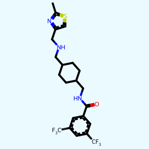 Cc1nc(CNCC2CCC(CNC(=O)c3cc(C(F)(F)F)cc(C(F)(F)F)c3)CC2)cs1